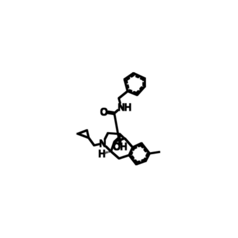 Cc1ccc2c(c1)[C@]13CCN(CC4CC4)[C@H](C2)[C@]1(O)CC(C(=O)NCc1ccccc1)C3